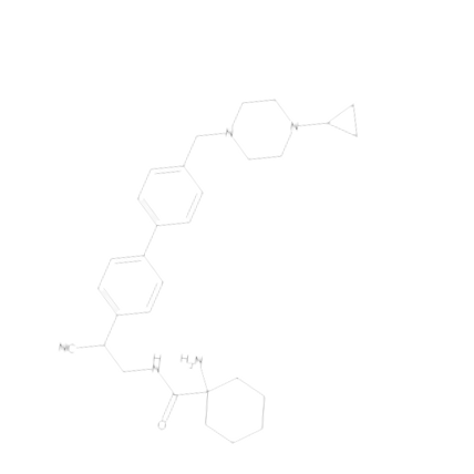 N#CC(CNC(=O)C1(N)CCCCC1)c1ccc(-c2ccc(CN3CCN(C4CC4)CC3)cc2)cc1